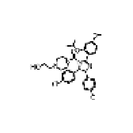 COc1ccc(C2=NC(c3ccc(Cl)cc3)C(c3ccc(Cl)cc3)N2C(=O)N2CCN(CCO)CC2)c(OC(C)C)c1